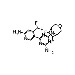 Nc1cc(C(F)F)c(-c2nc(N)nc(N3C4COCC3C(F)C4F)n2)cn1